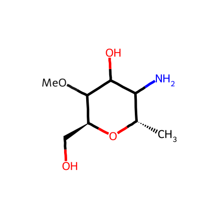 COC1C(O)C(N)[C@H](C)O[C@H]1CO